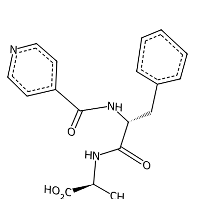 C[C@H](NC(=O)[C@@H](Cc1ccccc1)NC(=O)c1ccncc1)C(=O)O